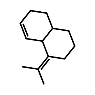 CC(C)=C1CCCC2CCC=CC12